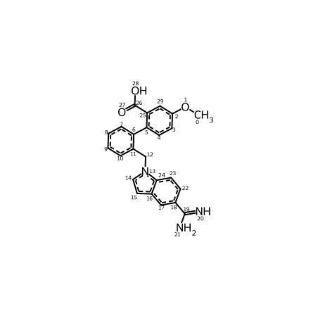 COc1ccc(-c2ccccc2Cn2ccc3cc(C(=N)N)ccc32)c(C(=O)O)c1